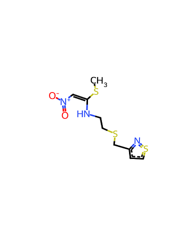 CS/C(=C/[N+](=O)[O-])NCCSCc1ccsn1